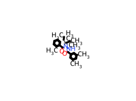 CCC[C@@H](N(NC(=O)c1cc(C)cc(C)c1)C(=O)c1ccccc1C)C(C)(C)C